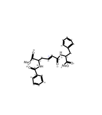 COC(=O)C(Cc1ccccc1)NC(=O)/C=C/CC(NC(=O)c1ccccc1)C(=O)OC